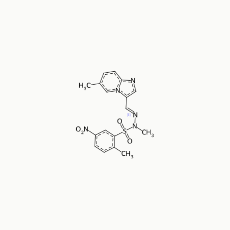 Cc1ccc2ncc(/C=N/N(C)S(=O)(=O)c3cc([N+](=O)[O-])ccc3C)n2c1